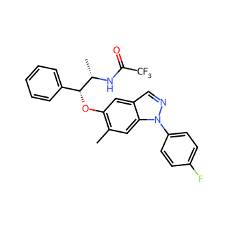 Cc1cc2c(cnn2-c2ccc(F)cc2)cc1O[C@H](c1ccccc1)[C@H](C)NC(=O)C(F)(F)F